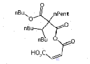 CCCCCC(C(=O)OCCCC)(C(=O)OC(=O)/C=C\C(=O)O)C(CCCC)CCCC